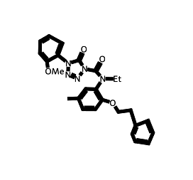 CCN(C(=O)n1nnn(-c2ccccc2OC)c1=O)c1cc(C)ccc1OCCc1ccccc1